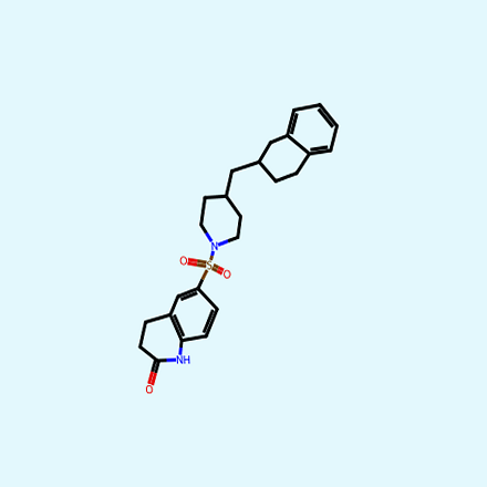 O=C1CCc2cc(S(=O)(=O)N3CCC(CC4CCc5ccccc5C4)CC3)ccc2N1